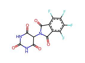 O=C1NC(=O)C(N2C(=O)c3c(F)c(F)c(F)c(F)c3C2=O)C(=O)N1